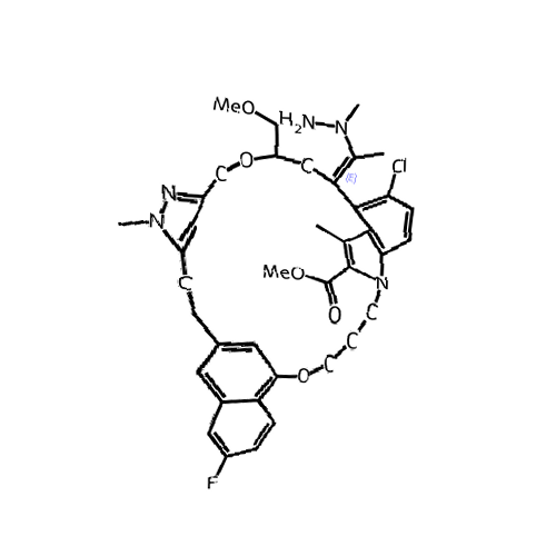 COCC1C/C(=C(/C)N(C)N)c2c(Cl)ccc3c2c(C)c(C(=O)OC)n3CCCOc2cc(cc3cc(F)ccc23)CCc2cc(nn2C)CO1